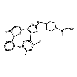 Cc1ccccc1-n1nc(-c2oc(NC3CCN(C(=O)OC(C)(C)C)CC3)nc2-c2ccc(F)cc2F)ccc1=O